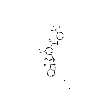 COc1cc(C(=O)Nc2cccc(S(C)(=O)=O)c2)cc2nc(C(O)(c3ccccc3)C(F)(F)F)n(C)c12